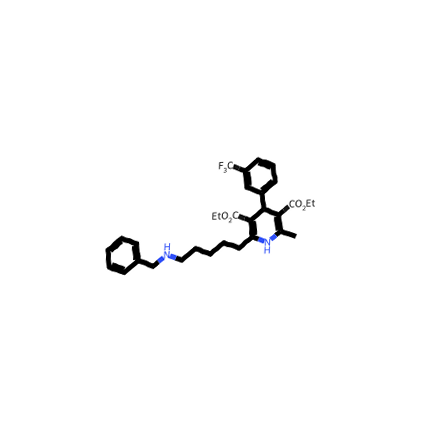 CCOC(=O)C1=C(C)NC(CCCCCNCc2ccccc2)=C(C(=O)OCC)C1c1cccc(C(F)(F)F)c1